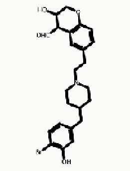 O=CC1c2cc(CCN3CCC(Cc4ccc(Br)c(O)c4)CC3)ccc2OCC1O